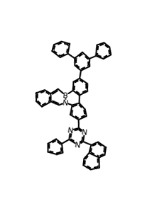 C1=c2ccccc2=CN2B1c1cc(-c3cc(-c4ccccc4)cc(-c4ccccc4)c3)ccc1-c1ccc(-c3nc(-c4ccccc4)nc(-c4cccc5ccccc45)n3)cc12